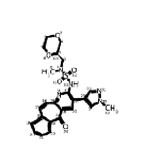 CN(C[C@@H]1COCCO1)S(=O)(=O)Nc1nc2ccc3ccccc3c(=O)c2cc1-c1cnn(C)c1